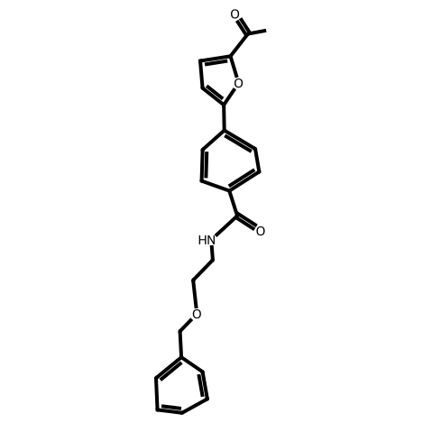 CC(=O)c1ccc(-c2ccc(C(=O)NCCOCc3ccccc3)cc2)o1